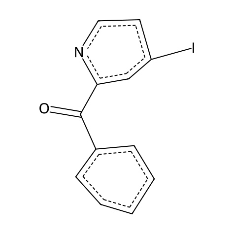 O=C(c1ccccc1)c1cc(I)ccn1